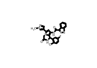 Cn1cc(-c2cc(NC(=O)c3nsc4ccccc34)c3n2CC(=O)NC3c2cc(F)ccc2Cl)cn1